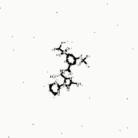 C[C@H](NC(=O)c1cc(OC(F)(F)F)cc(S(=O)(=O)C(F)F)c1)c1nc(N)nn1-c1ncccn1